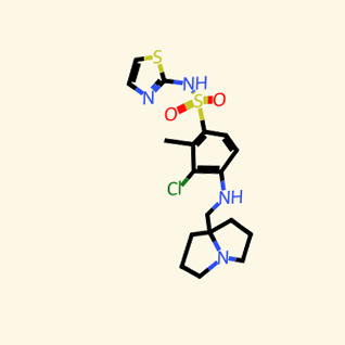 Cc1c(S(=O)(=O)Nc2nccs2)ccc(NCC23CCCN2CCC3)c1Cl